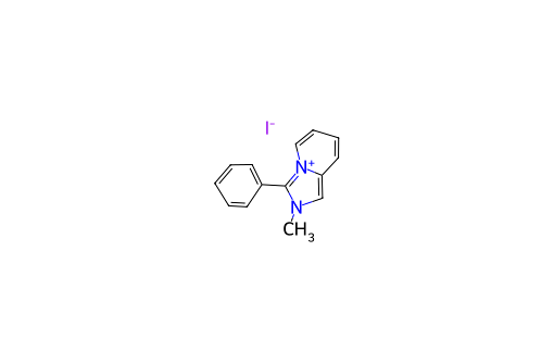 Cn1cc2cccc[n+]2c1-c1ccccc1.[I-]